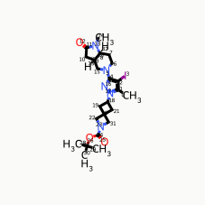 Cc1c(I)c(N2CC[C@H]3[C@@H](CC(=O)N3C)C2)nn1C1CC2(C1)CN(C(=O)OC(C)(C)C)C2